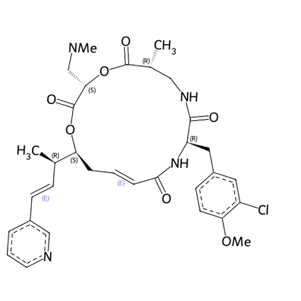 CNC[C@@H]1OC(=O)[C@H](C)CNC(=O)[C@@H](Cc2ccc(OC)c(Cl)c2)NC(=O)/C=C/C[C@@H]([C@H](C)/C=C/c2cccnc2)OC1=O